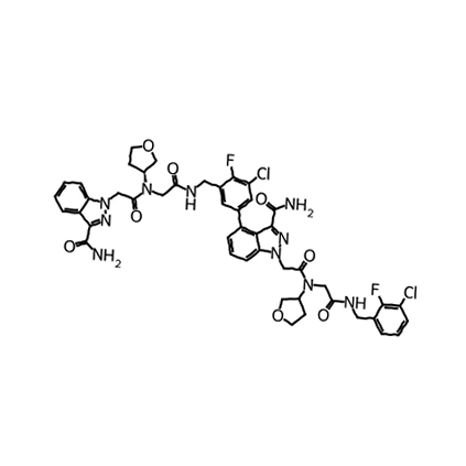 NC(=O)c1nn(CC(=O)N(CC(=O)NCc2cc(-c3cccc4c3c(C(N)=O)nn4CC(=O)N(CC(=O)NCc3cccc(Cl)c3F)C3CCOC3)cc(Cl)c2F)[C@H]2CCOC2)c2ccccc12